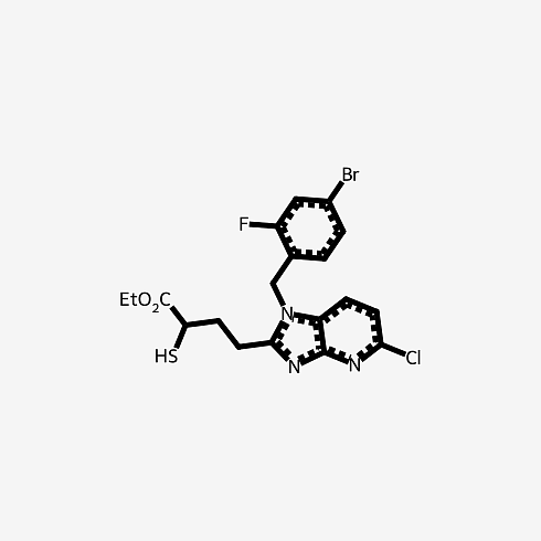 CCOC(=O)C(S)CCc1nc2nc(Cl)ccc2n1Cc1ccc(Br)cc1F